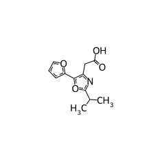 CC(C)c1nc(CC(=O)O)c(-c2ccco2)o1